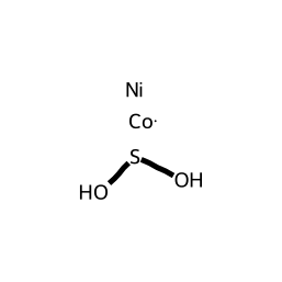 OSO.[Co].[Ni]